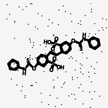 O=S(=O)(O)c1cc(OC(=S)Nc2ccccc2)ccc1C=Cc1ccc(OC(=S)Nc2ccccc2)cc1S(=O)(=O)O